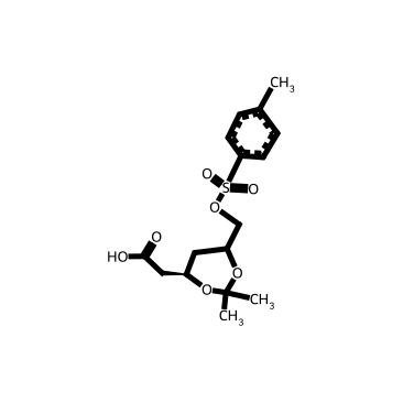 Cc1ccc(S(=O)(=O)OCC2C[C@H](CC(=O)O)OC(C)(C)O2)cc1